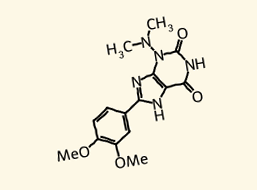 COc1ccc(-c2nc3c([nH]2)c(=O)[nH]c(=O)n3N(C)C)cc1OC